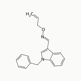 C=CCON=Cc1cn(Cc2ccccc2)c2ccccc12